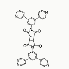 O=C1C2C(C(=O)N1c1cc(-c3ccncc3)cc(-c3ccncc3)c1)C1C(=O)N(c3cc(-c4ccncc4)cc(-c4cccnc4)c3)C(=O)C21